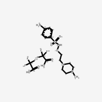 CN1CCN(CCONS(=O)(=O)c2ccc(N)cc2)CC1.O=C(O)C(F)(F)F.O=C(O)C(F)(F)F